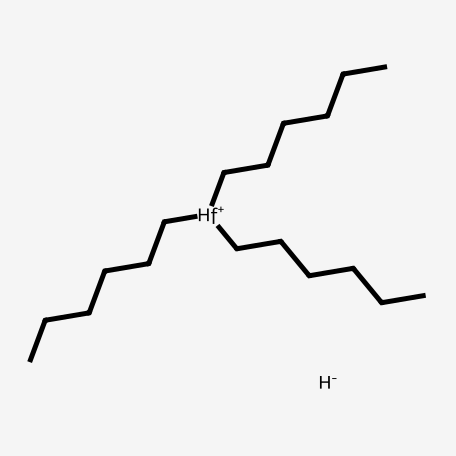 CCCCC[CH2][Hf+]([CH2]CCCCC)[CH2]CCCCC.[H-]